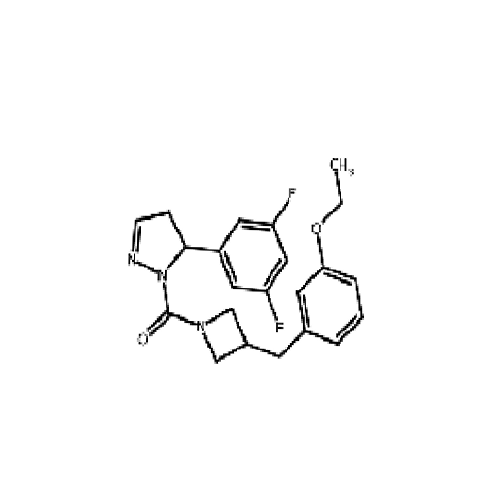 CCOc1cccc(CC2CN(C(=O)N3N=CCC3c3cc(F)cc(F)c3)C2)c1